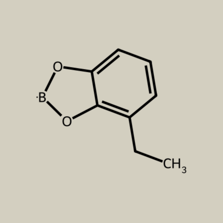 CCc1cccc2c1O[B]O2